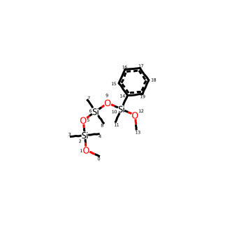 CO[Si](C)(C)O[Si](C)(C)O[Si](C)(OC)c1ccccc1